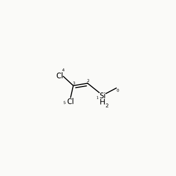 C[SiH2]C=C(Cl)Cl